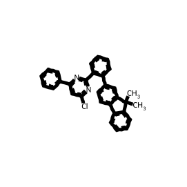 CC1(C)c2ccccc2-c2ccc(-c3ccccc3-c3nc(Cl)cc(-c4ccccc4)n3)cc21